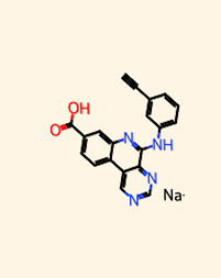 C#Cc1cccc(Nc2nc3cc(C(=O)O)ccc3c3cncnc23)c1.[Na]